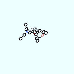 CC1(C)c2cc(-c3cccc4c3-c3ccccc3-c3ccc5ccccc5c3CCOc3c-4ccc4ccccc34)ccc2-c2ccc(N(c3ccc(-c4ccccc4)cc3)c3ccc(-c4ccccc4)cc3)cc21